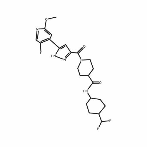 COc1cc(-c2cc(C(=O)N3CCC(C(=O)NC4CCC(C(F)F)CC4)CC3)n[nH]2)c(F)cn1